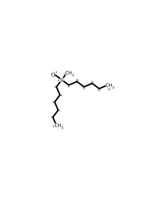 CCCCCC[Si](C)(Cl)CCCCCC